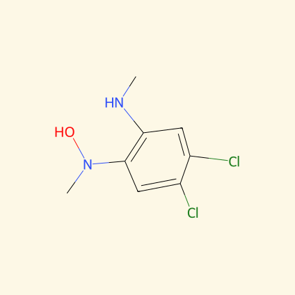 CNc1cc(Cl)c(Cl)cc1N(C)O